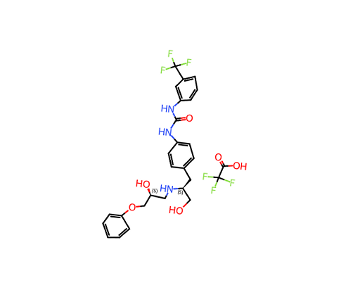 O=C(Nc1ccc(C[C@@H](CO)NC[C@H](O)COc2ccccc2)cc1)Nc1cccc(C(F)(F)F)c1.O=C(O)C(F)(F)F